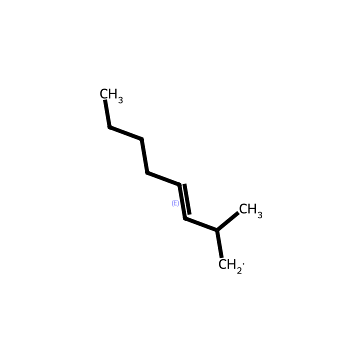 [CH2]C(C)/C=C/CCCC